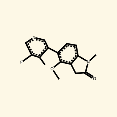 COc1c(-c2cncc(F)c2C)ccc2c1CC(=O)N2C